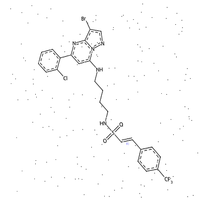 O=S(=O)(/C=C/c1ccc(C(F)(F)F)cc1)NCCCCNc1cc(-c2ccccc2Cl)nc2c(Br)cnn12